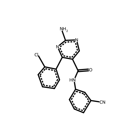 N#Cc1cccc(NC(=O)c2cnc(N)nc2-c2ccccc2Cl)c1